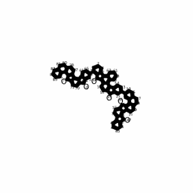 O=c1c2cc(-c3cccc4c3c(=O)c3c5ccc6c(=O)c7cc(-c8ccc9ccc%10ccc%11c(c(=O)c%12ccc%13c%14ccccc%14c(=O)c%13c%12%11)c%10c9c8)ccc7c6c5c5ccccc5c43)ccc2c2c1ccc1c(=O)c3c(ccc4ccc5ccccc5c43)c12